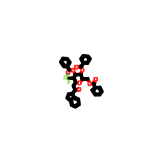 O=C(CC1OC(COC(=O)c2ccccc2)C(OC(=O)c2ccccc2)C(OC(=O)c2ccccc2)C1C(F)(F)F)C1=CCc2ccccc21